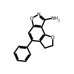 Nc1noc2cc(-c3ccccc3)c3c(c12)OCC3